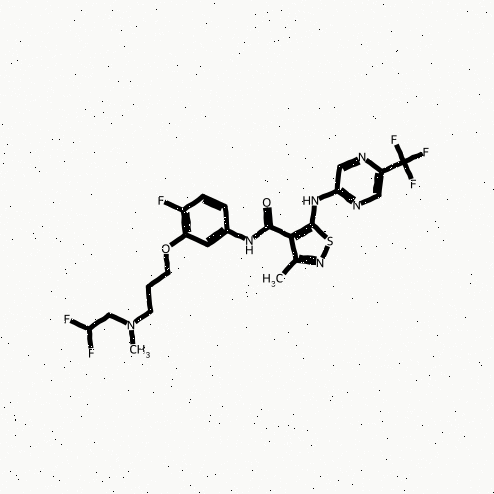 Cc1nsc(Nc2cnc(C(F)(F)F)cn2)c1C(=O)Nc1ccc(F)c(OCCCN(C)CC(F)F)c1